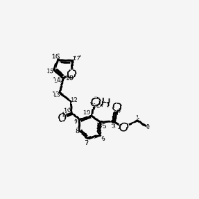 CCOC(=O)c1cccc(C(=O)CCc2ccco2)c1O